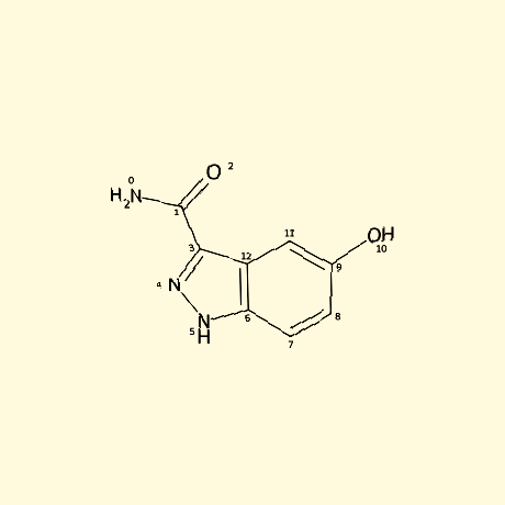 NC(=O)c1n[nH]c2ccc(O)cc12